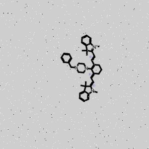 CN1/C(=C/C=C2\CCCC(/C=C/C3=[N+](C)c4ccccc4C3(C)C)=C2N2CCN(Cc3ccccc3)CC2)C(C)(C)c2ccccc21